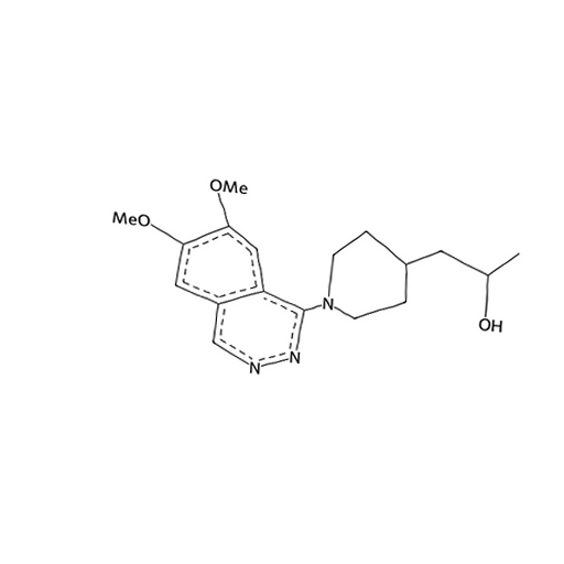 COc1cc2cnnc(N3CCC(CC(C)O)CC3)c2cc1OC